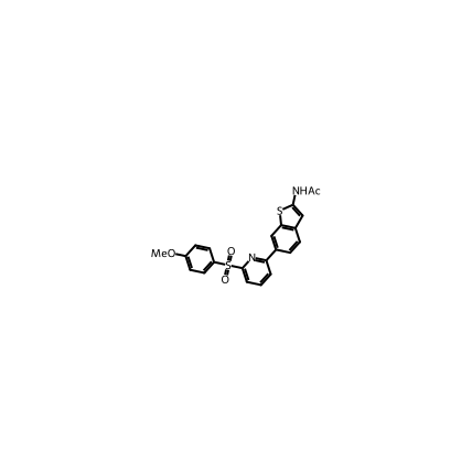 COc1ccc(S(=O)(=O)c2cccc(-c3ccc4cc(NC(C)=O)sc4c3)n2)cc1